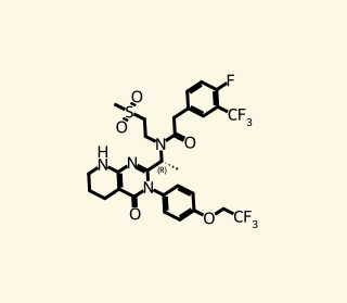 C[C@H](c1nc2c(c(=O)n1-c1ccc(OCC(F)(F)F)cc1)CCCN2)N(CCS(C)(=O)=O)C(=O)Cc1ccc(F)c(C(F)(F)F)c1